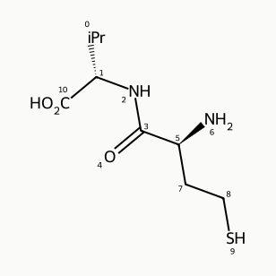 CC(C)[C@H](NC(=O)[C@@H](N)CCS)C(=O)O